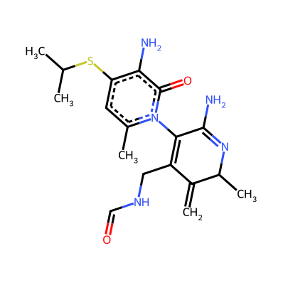 C=C1C(CNC=O)=C(n2c(C)cc(SC(C)C)c(N)c2=O)C(N)=NC1C